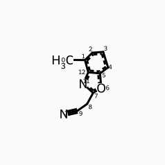 Cc1cccc2oc(CC#N)nc12